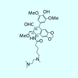 COC[C@@H]1[C@H](NC(=O)CCCCN(C)CCN(C)C)c2cc3c(cc2C(c2cc(OC)c(O)c(OC)c2)[C@H]1C=O)OCO3